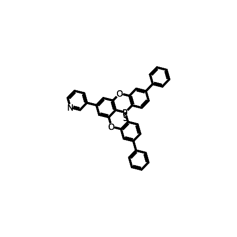 S=P12c3ccc(-c4ccccc4)cc3Oc3cc(-c4cccnc4)cc(c31)Oc1cc(-c3ccccc3)ccc12